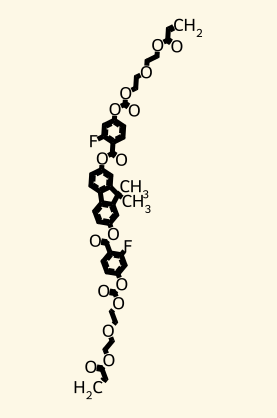 C=CC(=O)OCCOCCOC(=O)Oc1ccc(C(=O)Oc2ccc3c(c2)C(C)(C)c2cc(OC(=O)c4ccc(OC(=O)OCCOCCOC(=O)C=C)cc4F)ccc2-3)c(F)c1